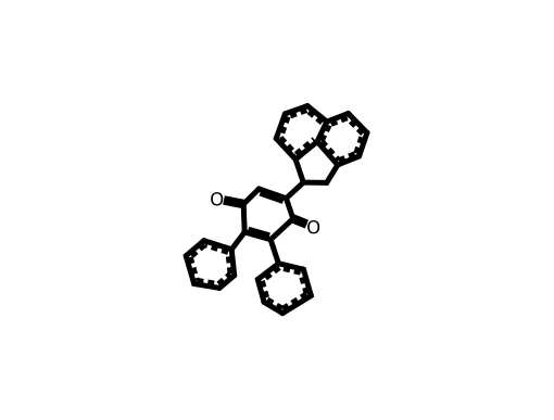 O=C1C=C(C2Cc3cccc4cccc2c34)C(=O)C(c2ccccc2)=C1c1ccccc1